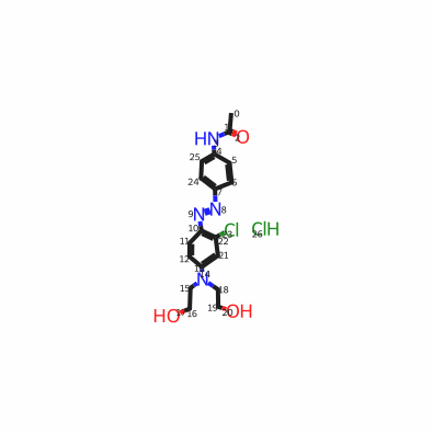 CC(=O)Nc1ccc(N=Nc2ccc(N(CCO)CCO)cc2Cl)cc1.Cl